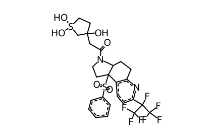 O=C(CC1(O)CCS(O)(O)C1)N1CCC2(S(=O)(=O)c3ccccc3)c3ccc(C(F)(C(F)(F)F)C(F)(F)F)nc3CCC12